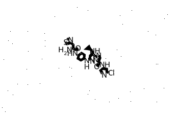 N[C@H](Cc1cscn1)C(=O)N[C@H]1CC[C@H](Nc2cc(NC3CC3)c3ncc(C(=O)Nc4ccnc(Cl)c4)n3n2)CC1